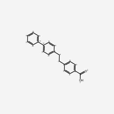 O=C(O)c1ccc(CCc2ccc(-c3ccccc3)cc2)cc1